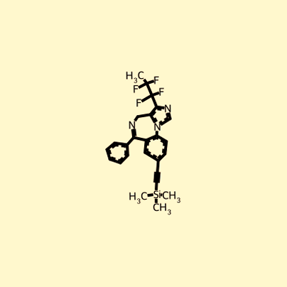 CC(F)(F)C(F)(F)c1ncn2c1CN=C(c1ccccc1)c1cc(C#C[Si](C)(C)C)ccc1-2